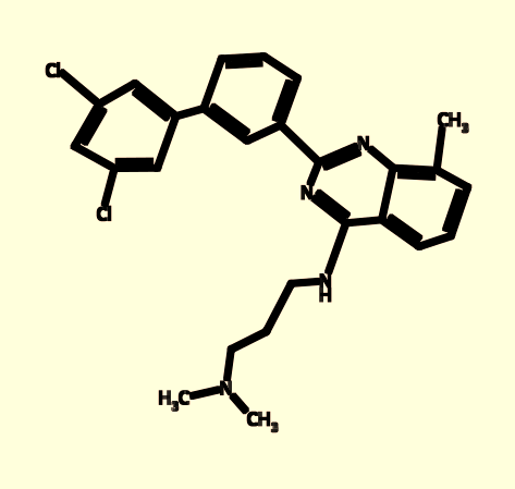 Cc1cccc2c(NCCCN(C)C)nc(-c3cccc(-c4cc(Cl)cc(Cl)c4)c3)nc12